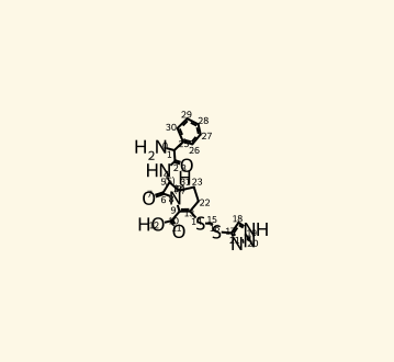 NC(C(=O)N[C@@H]1C(=O)N2C(C(=O)O)=C(SCSc3c[nH]nn3)CC[C@H]12)c1ccccc1